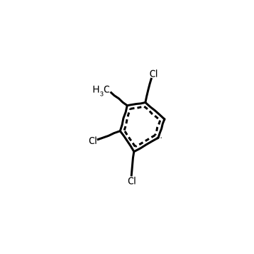 Cc1c(Cl)c[c]c(Cl)c1Cl